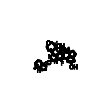 COc1nc(-c2cc(O)cc3c2C2(CC3)CC2)c(F)c2nc(OC[C@]34CCC[C@H]3N(C)CCC4)nc(N3CCOC[C@@](C)(O)C3)c12